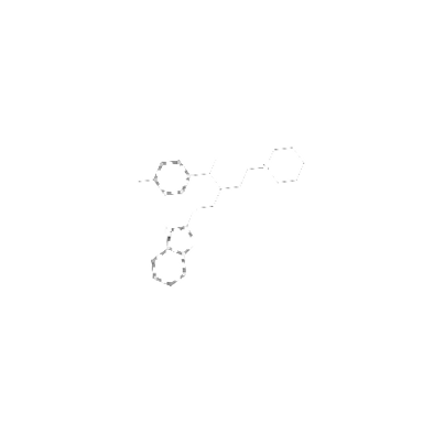 CC(c1ccc(F)cc1)C(CCN1CCCCC1)CSc1nc2ccccc2s1